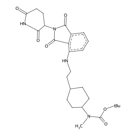 CN(C(=O)OC(C)(C)C)C1CCC(CCNc2cccc3c2C(=O)N(C2CCC(=O)NC2=O)C3=O)CC1